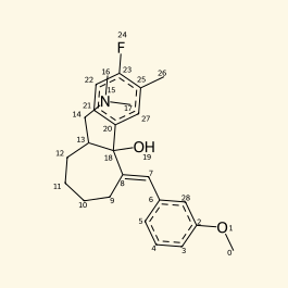 COc1cccc(/C=C2\CCCCC(CN(C)C)C2(O)c2ccc(F)c(C)c2)c1